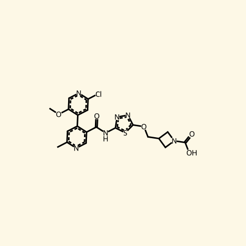 COc1cnc(Cl)cc1-c1cc(C)ncc1C(=O)Nc1nnc(OCC2CN(C(=O)O)C2)s1